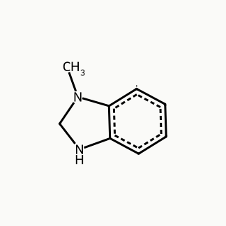 CN1CNc2ccc[c]c21